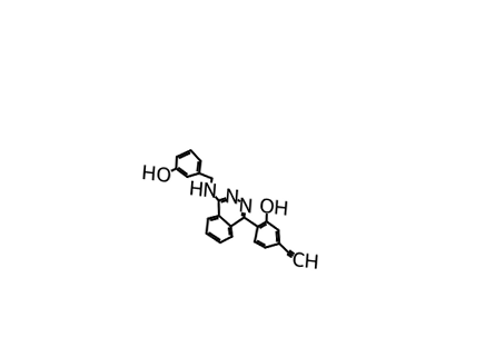 C#Cc1ccc(-c2nnc(NCc3cccc(O)c3)c3ccccc23)c(O)c1